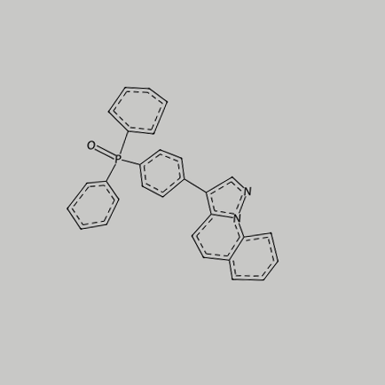 O=P(c1ccccc1)(c1ccccc1)c1ccc(-c2cnn3c2ccc2ccccc23)cc1